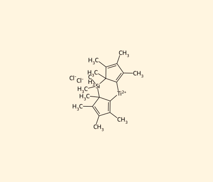 CC1=C(C)C2(C)[C](=C1C)[Ti+2][C]1=C(C)C(C)=C(C)C1(C)[Si]2(C)C.[Cl-].[Cl-]